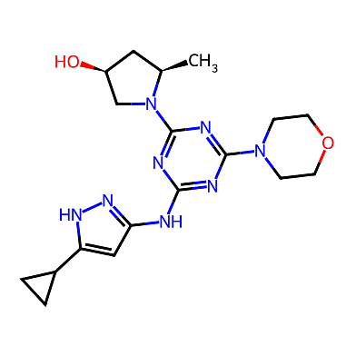 C[C@@H]1C[C@H](O)CN1c1nc(Nc2cc(C3CC3)[nH]n2)nc(N2CCOCC2)n1